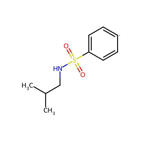 CC(C)CNS(=O)(=O)c1cc[c]cc1